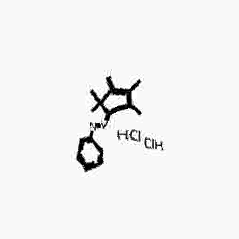 CC1=C(C)C(C)(C)[C]([V]=[N]c2ccccc2)=C1C.Cl.Cl